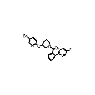 O=C(c1ccccc1-c1ncc(F)cn1)N1CCCC(Oc2ccc(Br)cn2)C1